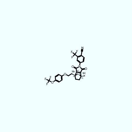 C[C@@]12CC[C@@](CCOc3ccc(OC(F)(F)F)cc3)(O1)[C@H]1C(=O)N(c3ccc(C#N)c(C(F)(F)F)c3)C(=O)[C@H]12